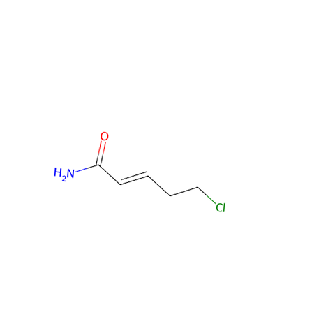 NC(=O)C=CCCCl